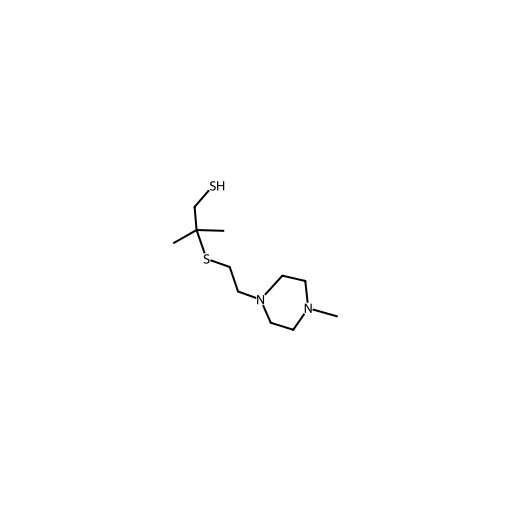 CN1CCN(CCSC(C)(C)CS)CC1